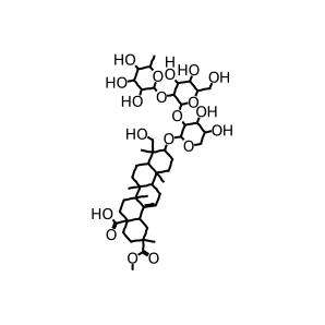 COC(=O)C1(C)CCC2(C(=O)O)CCC3(C)C(=CCC4C5(C)CCC(OC6OCC(O)C(O)C6OC6OC(CO)C(O)C(O)C6OC6OC(C)C(O)C(O)C6O)C(C)(CO)C5CCC43C)C2C1